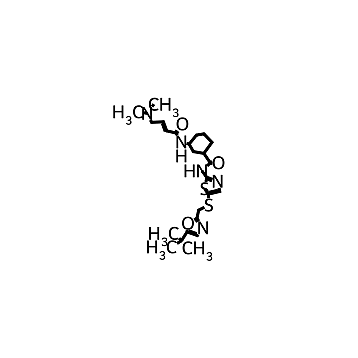 CN(C)CC=CC(=O)NC1CCCC(C(=O)Nc2ncc(SCc3ncc(C(C)(C)C)o3)s2)C1